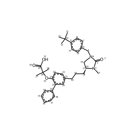 CN1C(=O)N(Cc2ccc(C(C)(C)C)cc2)C[C@@H]1CCCc1ccc(OC(C)(C)C(=O)O)c(-c2ccccc2)c1